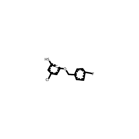 Fc1ccc(COc2cc(S)cc(Cl)c2)cc1